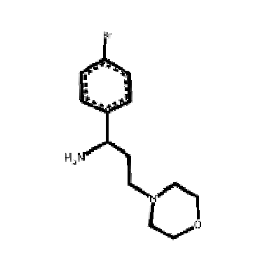 NC(CCN1CCOCC1)c1ccc(Br)cc1